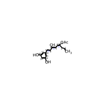 C=CC\C(=C/C=C(C)/C=C/c1cc(O)cc(O)c1)OC(C)=O